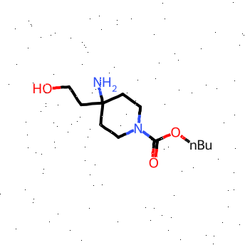 CCCCOC(=O)N1CCC(N)(CCO)CC1